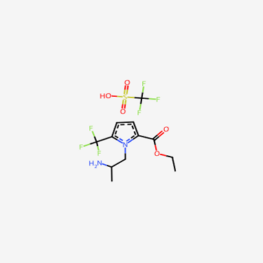 CCOC(=O)c1ccc(C(F)(F)F)n1CC(C)N.O=S(=O)(O)C(F)(F)F